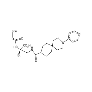 CCCCOC(=O)N[C@@](CC)(CNC(=O)C1CCC2(CC1)CCN(c1ccncc1)CC2)C(=O)O